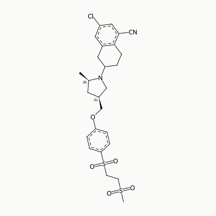 C[C@@H]1C[C@H](COc2ccc(S(=O)(=O)CCS(C)(=O)=O)cc2)CN1C1CCc2c(C#N)cc(Cl)cc2C1